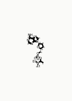 CCN(CC)C(C)O[PH](=O)OC[C@H]1CC[C@@H](n2cnc3c(N)ncnc32)O1